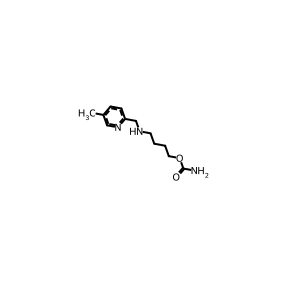 Cc1ccc(CNCCCCOC(N)=O)nc1